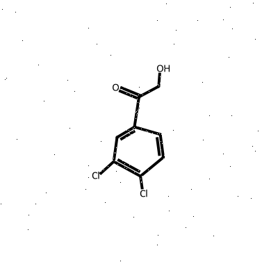 O=C(CO)c1ccc(Cl)c(Cl)c1